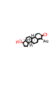 C[C@]12CC[C@H]3[C@@H](CCC4=[C]([Au])C(=O)CC[C@@]43C)[C@@H]1CC[C@@H]2O